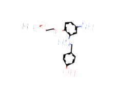 COCCOc1ccc(N)cc1NCc1ccc(O)cc1